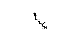 C#CCOCC(C)C#N